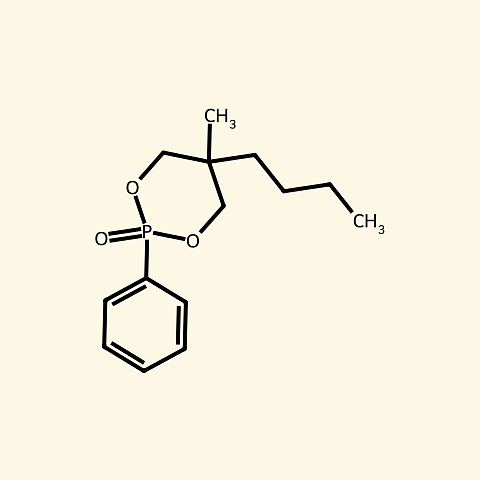 CCCCC1(C)COP(=O)(c2ccccc2)OC1